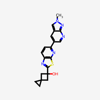 Cn1cc2cc(-c3ccc4nc(C5(O)CC6(CC6)C5)sc4n3)cnc2n1